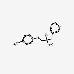 CCC(C=O)(CSc1ccc(C)cc1)Cc1ccccc1